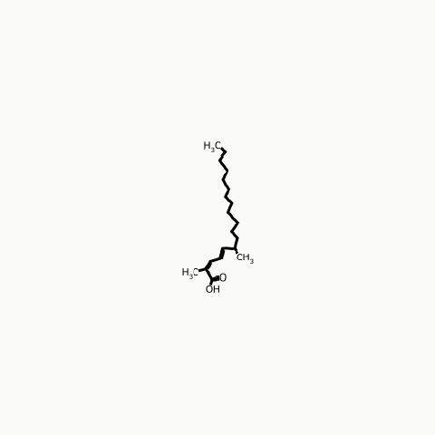 CCCCCCCCCCCCC(C)C=CC=C(C)C(=O)O